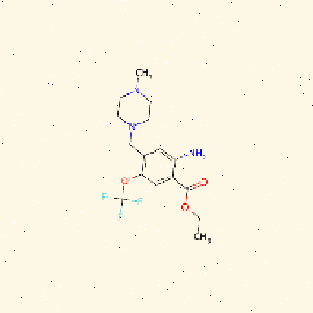 CCOC(=O)c1cc(OC(F)(F)F)c(CN2CCN(C)CC2)cc1N